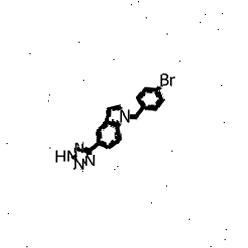 Brc1ccc(Cn2ccc3cc(-c4nn[nH]n4)ccc32)cc1